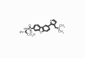 CC(C)[C@H](NS(=O)(=O)c1ccc2c(c1)oc1ccc(-c3sccc3CN(C)C)cc12)C(=O)O